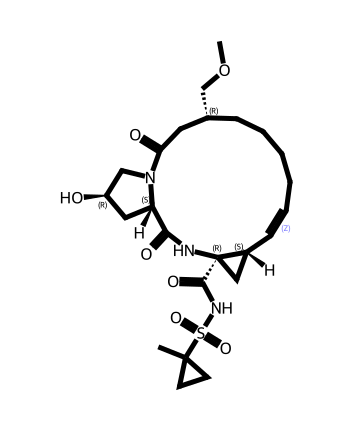 COC[C@@H]1CCCC/C=C\[C@@H]2C[C@@]2(C(=O)NS(=O)(=O)C2(C)CC2)NC(=O)[C@@H]2C[C@@H](O)CN2C(=O)C1